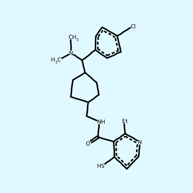 CCc1nccc(S)c1C(=O)NCC1CCC(C(c2ccc(Cl)cc2)N(C)C)CC1